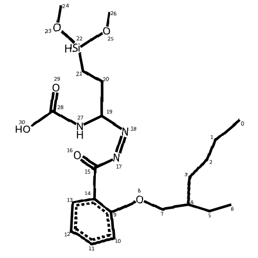 CCCCC(CC)COc1ccccc1C(=O)N=NC(CC[SiH](OC)OC)NC(=O)O